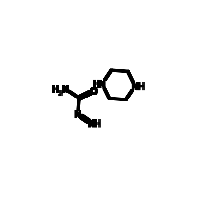 C1CNCCN1.N=NC(N)=O